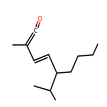 CCCCC(C=CC(C)=C=O)C(C)C